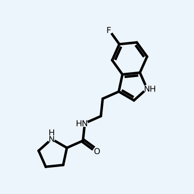 O=C(NCCc1c[nH]c2ccc(F)cc12)C1CCCN1